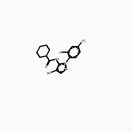 N#Cc1cnn(-c2ccc(C(F)(F)F)cc2Cl)c1NC(=O)C1CCCCC1